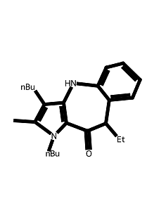 CCCCc1c2c(n(CCCC)c1C)C(=O)C(CC)c1ccccc1N2